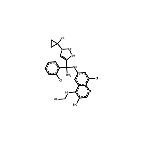 BC(Nc1cc(Cl)c2ncc(C#N)c(NCC(C)(C)C)c2c1)(C1=CN(C2(C)CC2)NN1)c1ccccc1Cl